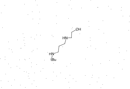 CC(C)(C)NCCCNCCO